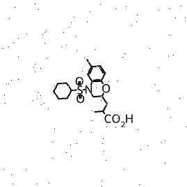 Cc1ccc2c(c1)N(S(=O)(=O)C1CCCCC1)CC(CC(C)C(=O)O)O2